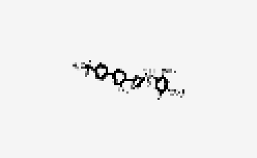 COc1cc(C(=O)O)c(F)cc1NS(=O)(=O)c1csc(-c2ccc(-c3ccc(C(C)(F)F)cc3)cc2C(F)(F)F)n1